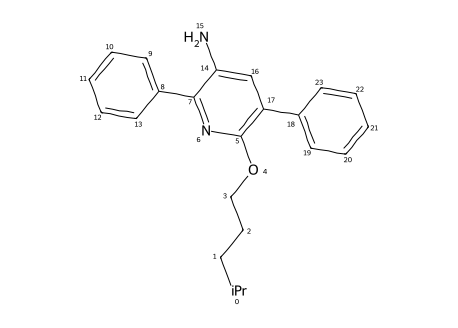 CC(C)CCCOc1nc(-c2ccccc2)c(N)cc1-c1ccccc1